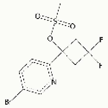 CS(=O)(=O)OC1(c2ccc(Br)cn2)CC(F)(F)C1